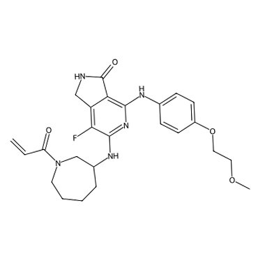 C=CC(=O)N1CCCCC(Nc2nc(Nc3ccc(OCCOC)cc3)c3c(c2F)CNC3=O)C1